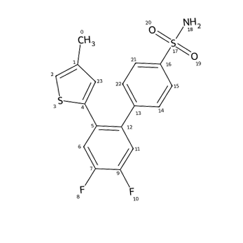 Cc1csc(-c2cc(F)c(F)cc2-c2ccc(S(N)(=O)=O)cc2)c1